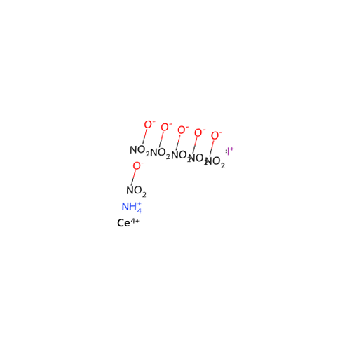 O=[N+]([O-])[O-].O=[N+]([O-])[O-].O=[N+]([O-])[O-].O=[N+]([O-])[O-].O=[N+]([O-])[O-].O=[N+]([O-])[O-].[Ce+4].[I+].[NH4+]